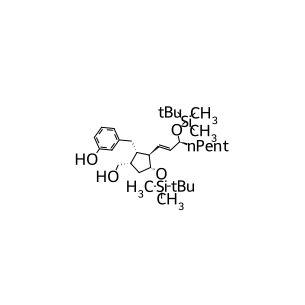 CCCCC[C@@H](/C=C/[C@@H]1[C@@H](Cc2cccc(O)c2)[C@@H](CO)C[C@H]1O[Si](C)(C)C(C)(C)C)O[Si](C)(C)C(C)(C)C